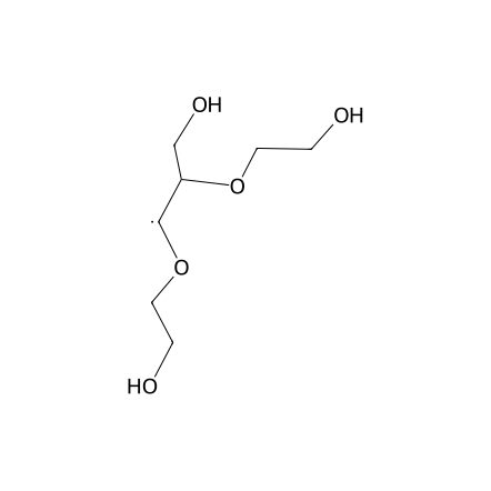 OCCO[CH]C(CO)OCCO